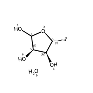 C[C@H]1OC(O)[C@H](O)[C@@H]1O.O